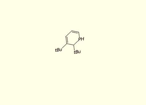 CC(C)(C)C1=CC=CPC1C(C)(C)C